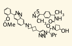 COCOc1ccccc1-c1cc2ccc(N3CC4(CC(c5cn(C(C(=O)N6C[C@H](O)C[C@H]6C(=O)NC(C)c6ccc(-c7scnc7C)cc6)C(C)C)nn5)C4)C3)cc2nn1